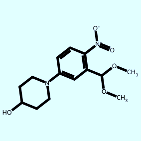 COC(OC)c1cc(N2CCC(O)CC2)ccc1[N+](=O)[O-]